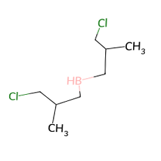 CC(CCl)CBCC(C)CCl